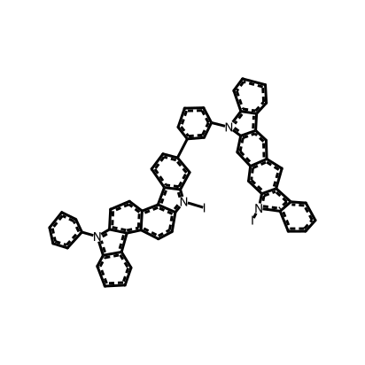 In1c2ccccc2c2cc3cc4c5ccccc5n(-c5cccc(-c6ccc7c8c9ccc%10c(c9ccc8n(I)c7c6)c6ccccc6n%10-c6ccccc6)c5)c4cc3cc21